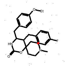 CCOc1ccc(CC2NC(=O)OC3(CCN(C)CC3)C2Cc2ccc(F)cc2)cc1